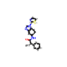 CC(C)C(C(=O)Nc1ccc2c(c1)ncn2-c1nccs1)c1ccccc1